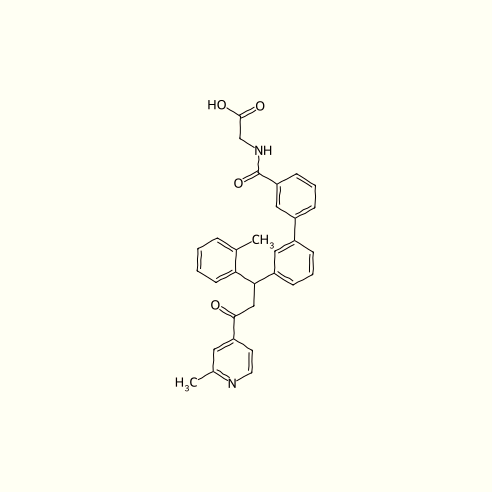 Cc1cc(C(=O)CC(c2cccc(-c3cccc(C(=O)NCC(=O)O)c3)c2)c2ccccc2C)ccn1